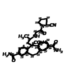 C[C@H](CC1(C(=O)O)c2ccc(C(N)=O)cc2CCc2cc(C(N)=O)ccc21)NCC(=O)N1CCC[C@H]1C#N